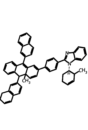 CC1C=CCC[C@@H]1n1c(-c2ccc(C3=CC4=C(c5ccc6ccccc6c5)c5ccccc5C(c5ccc6c(c5)CCC=C6)C4(C)C=C3)cc2)nc2ccccc21